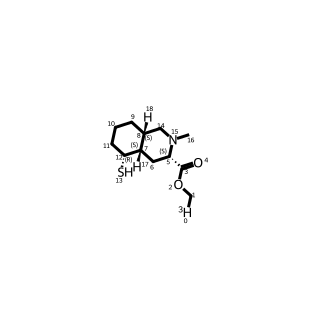 [3H]COC(=O)[C@@H]1C[C@H]2[C@H](CCC[C@H]2S)CN1C